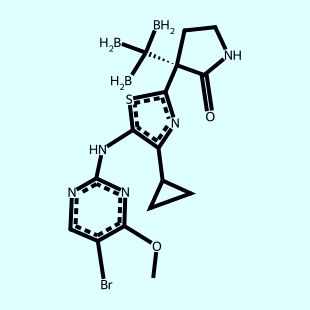 BC(B)(B)[C@]1(c2nc(C3CC3)c(Nc3ncc(Br)c(OC)n3)s2)CCNC1=O